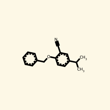 CC(C)c1ccc(OCc2ccccc2)c(C#N)c1